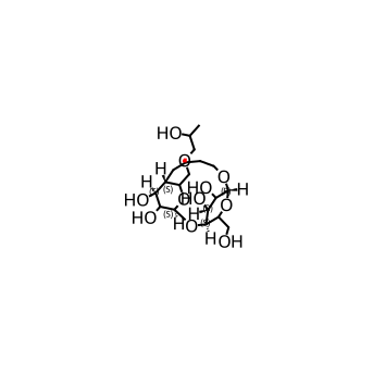 CC(O)COCC1O[C@H]2O[C@@H]3C(CO)O[C@@H](OCCCC[C@H]1[C@H](O)C2O)C(O)[C@H]3O